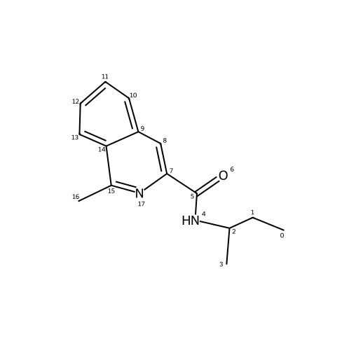 CCC(C)NC(=O)c1cc2ccccc2c(C)n1